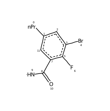 CCCc1cc(Br)c(F)c(C([NH])=O)c1